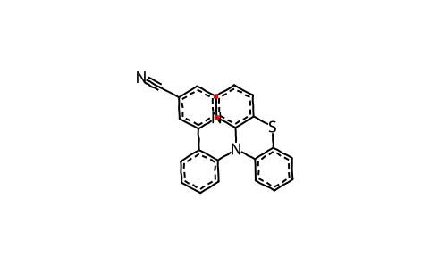 N#Cc1ccnc(-c2ccccc2N2c3ccccc3Sc3ccccc32)c1